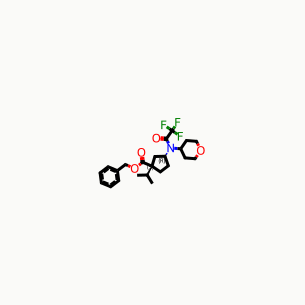 CC(C)[C@]1(C(=O)OCc2ccccc2)CC[C@@H](N(C(=O)C(F)(F)F)C2CCOCC2)C1